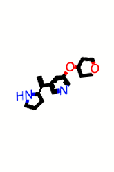 C=C(c1cncc(OC2CCOCC2)c1)[C@H]1CCCN1